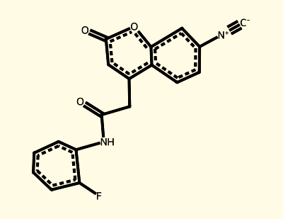 [C-]#[N+]c1ccc2c(CC(=O)Nc3ccccc3F)cc(=O)oc2c1